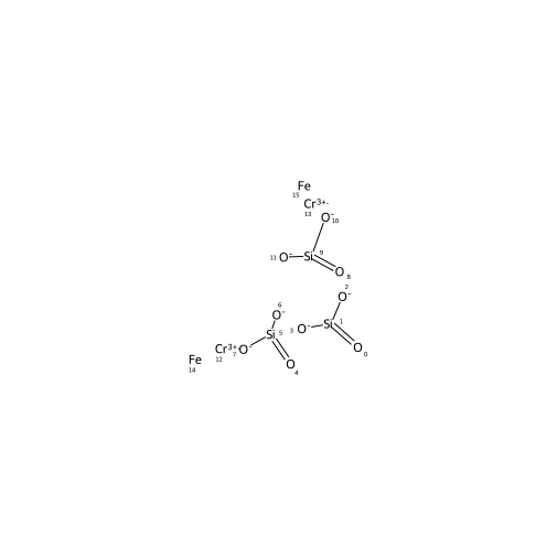 O=[Si]([O-])[O-].O=[Si]([O-])[O-].O=[Si]([O-])[O-].[Cr+3].[Cr+3].[Fe].[Fe]